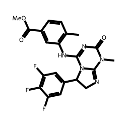 COC(=O)c1ccc(C)c(NC2=NC(=O)N(C)C3=NCC(c4cc(F)c(F)c(F)c4)N23)c1